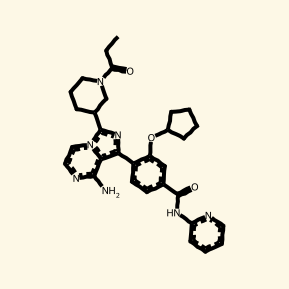 CCC(=O)N1CCCC(c2nc(-c3ccc(C(=O)Nc4ccccn4)cc3OC3CCCC3)c3c(N)nccn23)C1